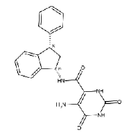 Nc1c(C(=O)N[C@H]2C[C@@H](c3ccccc3)c3ccccc32)[nH]c(=O)[nH]c1=O